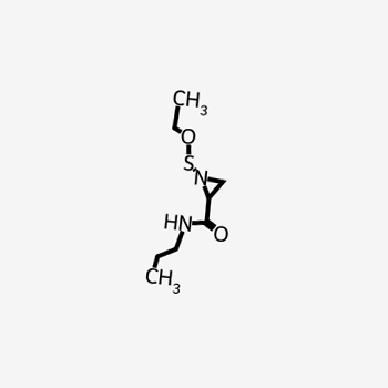 CCCNC(=O)C1CN1SOCC